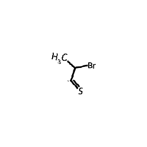 CC(Br)[C]=S